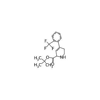 CC(C)(C)OC(=O)C1C=C(c2ccccc2C(F)(F)F)CCN1